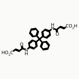 O=C(O)/C=C/C(=O)Nc1ccc(C(c2ccccc2)(c2ccccc2)c2ccc(NC(=O)/C=C/C(=O)O)cc2)cc1